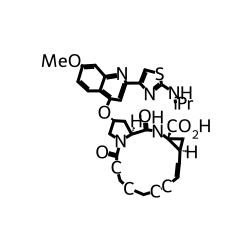 COc1ccc2c(O[C@@H]3C[C@H]4C(=O)N[C@]5(C(=O)O)C[C@H]5/C=C\CCCCCCC(=O)N4C3)cc(-c3csc(NC(C)C)n3)nc2c1